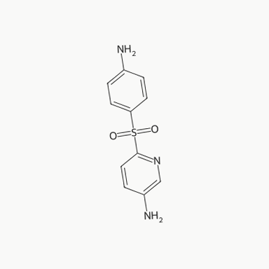 Nc1ccc(S(=O)(=O)c2ccc(N)cn2)cc1